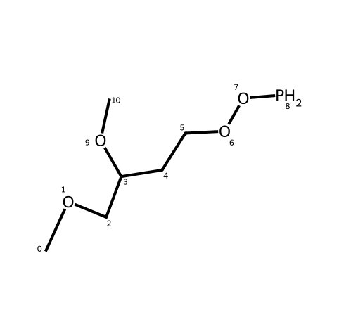 COCC(CCOOP)OC